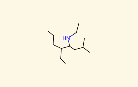 CCCC(CC)C(CC(C)C)NCC